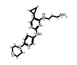 NCCCNc1nc(Nc2ccc(N3CCOCC3)nc2)ncc1C1CC1